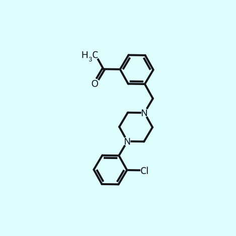 CC(=O)c1cccc(CN2CCN(c3ccccc3Cl)CC2)c1